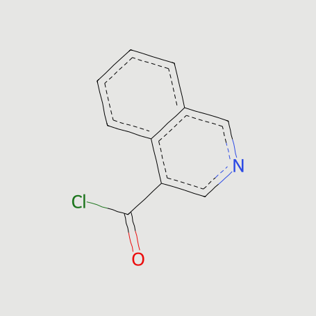 O=C(Cl)c1cncc2ccccc12